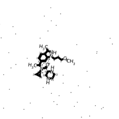 COCCCN1NC(C)C2C=CC(C(C)N(C(=O)[C@H]3CNCCN3)C3CC3)=CC21